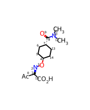 CC(=O)C(=NO[C@H]1CC[C@H](C(=O)N(C)C)CC1)C(=O)O